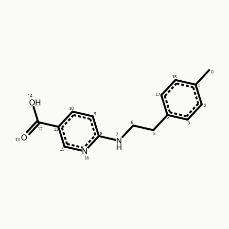 Cc1ccc(CCNc2ccc(C(=O)O)cn2)cc1